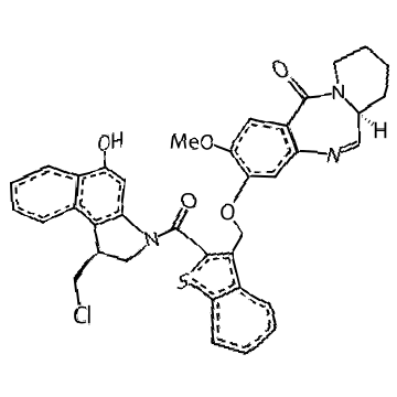 COc1cc2c(cc1OCc1c(C(=O)N3C[C@@H](CCl)c4c3cc(O)c3ccccc43)sc3ccccc13)N=C[C@@H]1CCCCN1C2=O